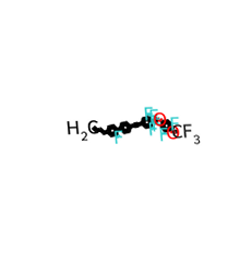 C=CCCc1ccc(-c2ccc(C#Cc3cc(F)c(C(F)(F)Oc4cc(F)c(OC(F)(F)F)c(F)c4)c(F)c3)cc2)c(F)c1